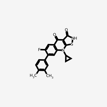 Cc1ccc(-c2cc3c(cc2F)c(=O)c2c(=O)[nH]sc2n3C2CC2)cc1C